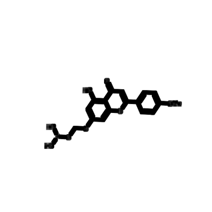 COc1ccc(-c2cc(=O)c3c(O)cc(OCOP(O)O)cc3o2)cc1